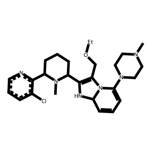 CCOCC1=C(C2CCCC(c3ncccc3Cl)N2C)NC2C=CC=C(N3CCN(C)CC3)N12